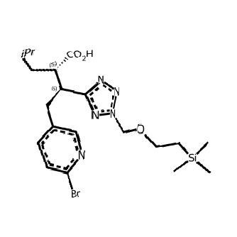 CC(C)C[C@H](C(=O)O)[C@H](Cc1ccc(Br)nc1)c1nnn(COCC[Si](C)(C)C)n1